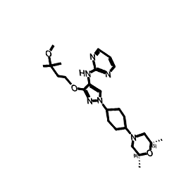 COC(C)(C)CCOc1nn(C2CCC(N3C[C@@H](C)O[C@@H](C)C3)CC2)cc1Nc1ncccn1